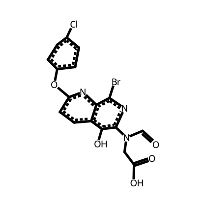 O=CN(CC(=O)O)c1nc(Br)c2nc(Oc3ccc(Cl)cc3)ccc2c1O